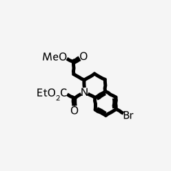 CCOC(=O)C(=O)N1c2ccc(Br)cc2CCC1CC(=O)OC